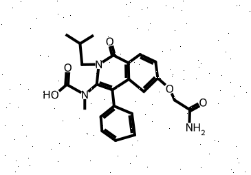 CC(C)Cn1c(N(C)C(=O)O)c(-c2ccccc2)c2cc(OCC(N)=O)ccc2c1=O